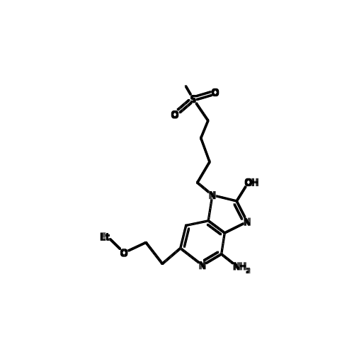 CCOCCc1cc2c(nc(O)n2CCCCS(C)(=O)=O)c(N)n1